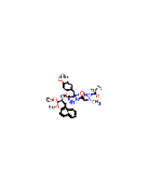 CCNC(=O)NN(C)CC(=O)NC(Cc1ccc(OC(C)(C)C)cc1)C(=O)N[C@H](c1cccc2ccccc12)[C@H](C)C(OCC)OCC